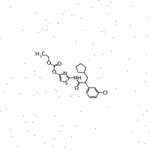 CCOC(=O)Oc1csc(NC(=O)C(CC2CCCC2)c2cccc(Cl)c2)n1